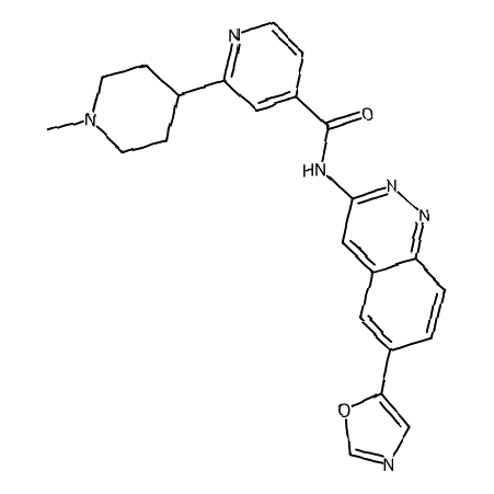 CN1CCC(c2cc(C(=O)Nc3cc4cc(-c5cnco5)ccc4nn3)ccn2)CC1